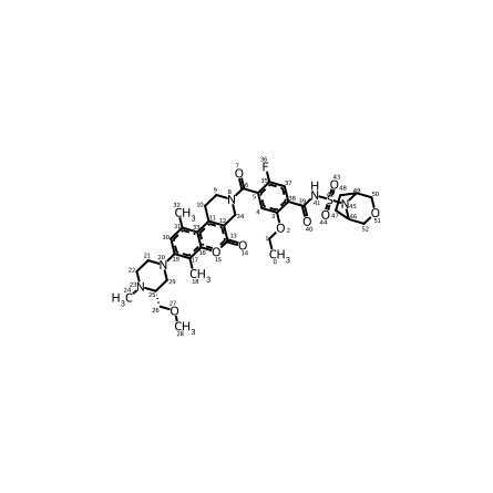 CCOc1cc(C(=O)N2CCc3c(c(=O)oc4c(C)c(N5CCN(C)[C@@H](COC)C5)cc(C)c34)C2)c(F)cc1C(=O)NS(=O)(=O)N1C2CCC1COC2